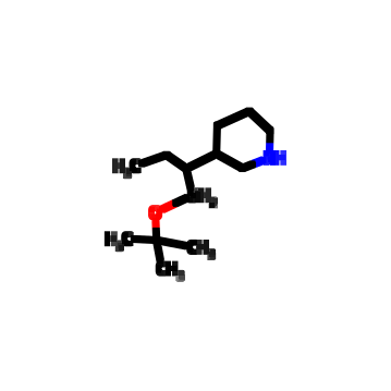 CCC([SiH2]OC(C)(C)C)C1CCCNC1